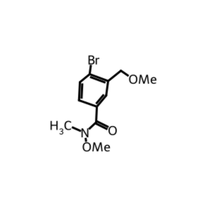 COCc1cc(C(=O)N(C)OC)ccc1Br